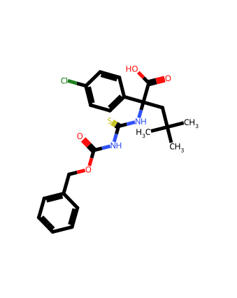 CC(C)(C)CC(NC(=S)NC(=O)OCc1ccccc1)(C(=O)O)c1ccc(Cl)cc1